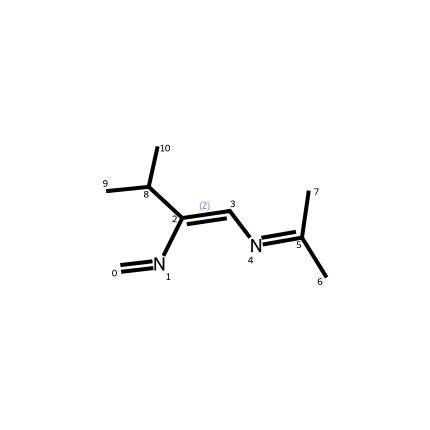 C=N/C(=C\N=C(C)C)C(C)C